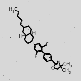 CCCCCC1CC[C@@H]2C[C@H](c3cc(F)c(-c4ccc(C5=NC(C)(C)CO5)cc4)c(F)c3)CC[C@@H]2C1